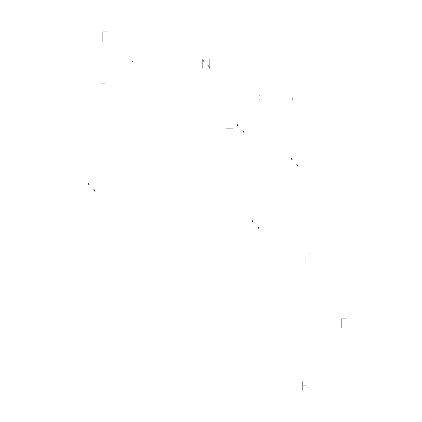 CC(C(=O)Nc1cnc(Oc2ccc(F)c(F)c2F)cn1)N1CCC(F)(F)C(c2ccncc2)C1